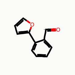 O=[C]c1ccccc1-c1ccco1